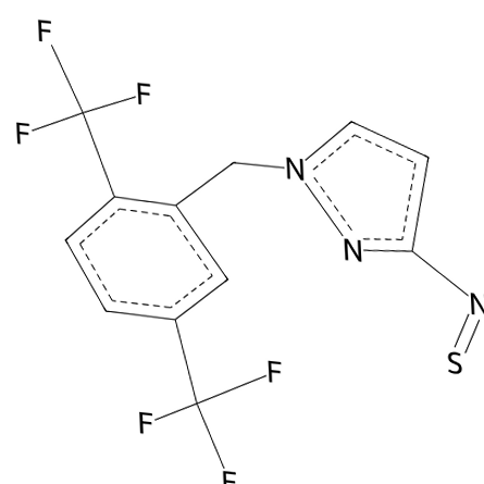 FC(F)(F)c1ccc(C(F)(F)F)c(Cn2ccc(N=S)n2)c1